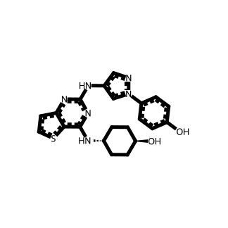 Oc1ccc(-n2cc(Nc3nc(N[C@H]4CC[C@H](O)CC4)c4sccc4n3)cn2)cc1